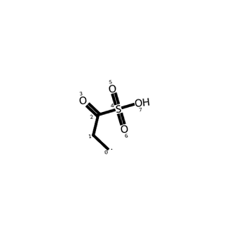 [CH2]CC(=O)S(=O)(=O)O